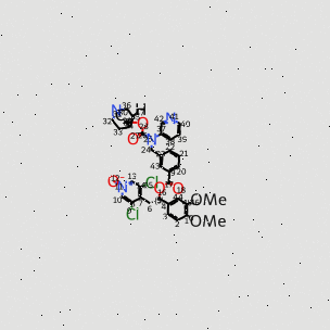 COc1ccc([C@H](Cc2c(Cl)c[n+]([O-])cc2Cl)OC(=O)c2cccc(CN(C(=O)O[C@H]3CN4CCC3CC4)c3cccnc3)c2)cc1OC